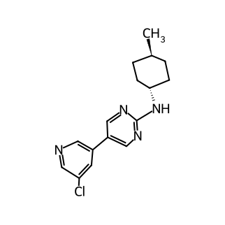 C[C@H]1CC[C@H](Nc2ncc(-c3cncc(Cl)c3)cn2)CC1